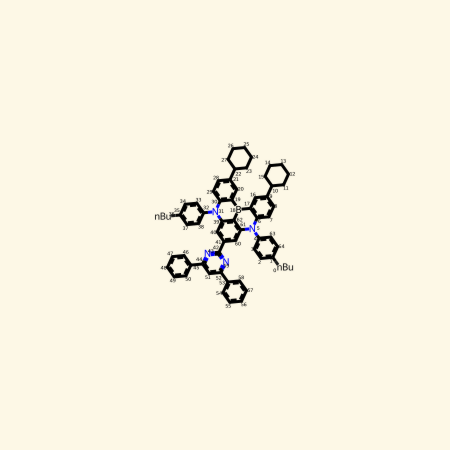 CCCCc1ccc(N2c3ccc(C4CCCCC4)cc3B3c4cc(C5CCCCC5)ccc4N(c4ccc(CCCC)cc4)c4cc(-c5nc(-c6ccccc6)cc(-c6ccccc6)n5)cc2c43)cc1